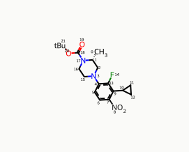 C[C@@H]1CN(c2ccc([N+](=O)[O-])c(C3CC3)c2F)CCN1C(=O)OC(C)(C)C